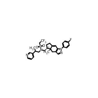 CC(CN(C[C@H]1CCC2=Cc3c(cnn3-c3ccc(F)cc3)C[C@@]21C)S(=O)(=O)CC(F)(F)F)c1cccnc1